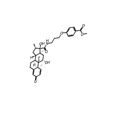 COC(=O)c1ccc(OCCCNC(=O)[C@@]2(O)[C@H](C)C[C@H]3[C@@H]4CCC5=CC(=O)C=C[C@]5(C)[C@@]4(F)[C@@H](O)C[C@@]32C)cc1